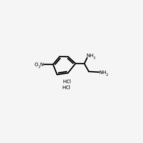 Cl.Cl.NCC(N)c1ccc([N+](=O)[O-])cc1